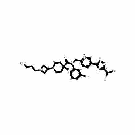 CCCCN1CC(N2CCC(F)(C(=O)N(Cc3ccc(-c4nnc(C(F)F)o4)cn3)c3cccc(F)c3)CC2)C1